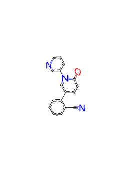 N#Cc1ccccc1-c1ccc(=O)n(-c2cccnc2)c1